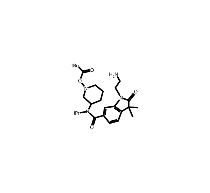 CC(C)N(C(=O)c1ccc2c(c1)N(CCN)C(=O)C2(C)C)C1CCCN(OC(=O)C(C)(C)C)C1